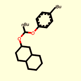 CCCCC(Oc1ccc(C(C)CC)cc1)OC1CCC2CCCCC2C1